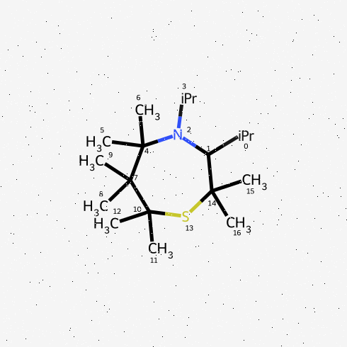 CC(C)C1N(C(C)C)C(C)(C)C(C)(C)C(C)(C)SC1(C)C